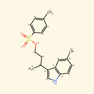 Cc1ccc(S(=O)(=O)OCCC(C)c2c[nH]c3ccc(C#N)cc23)cc1